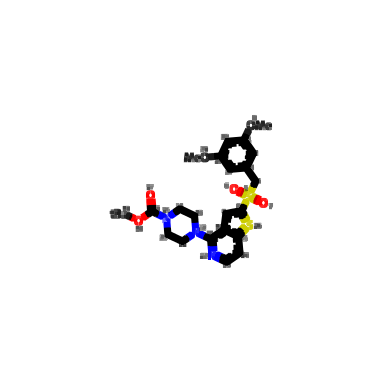 COc1cc(CS(=O)(=O)c2cc3c(N4CCN(C(=O)OC(C)(C)C)CC4)nccc3s2)cc(OC)c1